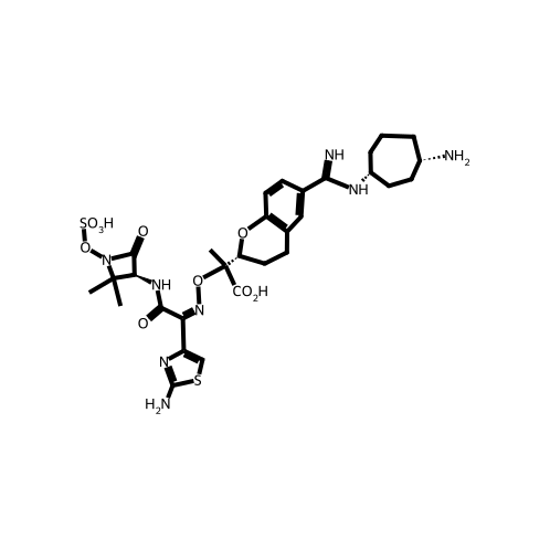 CC(O/N=C(\C(=O)N[C@@H]1C(=O)N(OS(=O)(=O)O)C1(C)C)c1csc(N)n1)(C(=O)O)[C@H]1CCc2cc(C(=N)N[C@@H]3CCC[C@H](N)CC3)ccc2O1